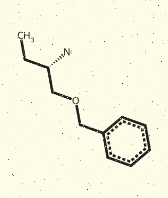 CC[C@H]([N])COCc1ccccc1